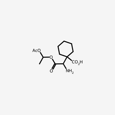 CC(=O)OC(C)OC(=O)C(N)C1(C(=O)O)CCCCC1